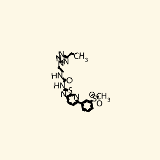 CCc1nnn(CCNC(=O)Nc2nc3ccc(-c4cccc(S(C)(=O)=O)c4)nc3s2)n1